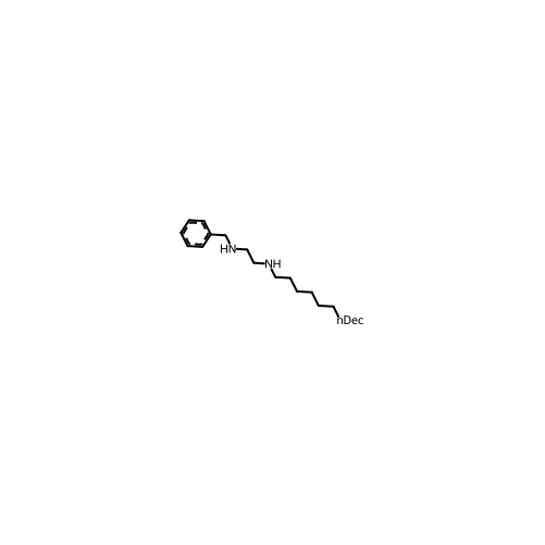 CCCCCCCCCCCCCCCCNCCNCc1ccccc1